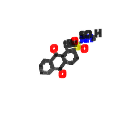 CC(C)(C)c1c(S(=O)(=O)NS(=O)(=O)O)ccc2c1C(=O)c1ccccc1C2=O